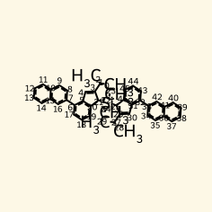 CC(C)C1=Cc2c(-c3ccc4ccccc4c3)cccc2C1[Si](C)(C)C1C(C(C)C)=Cc2c(-c3ccc4ccccc4c3)cccc21